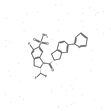 NS(=O)(=O)c1cc2c(cc1F)C[C@@H](C(F)F)N2C(=O)[C@@H]1Cc2ccc(-c3ccccn3)cc2C1